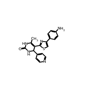 CC1=C(c2nc(-c3ccc(N)cc3)cs2)C(c2ccncc2)NC(=O)N1